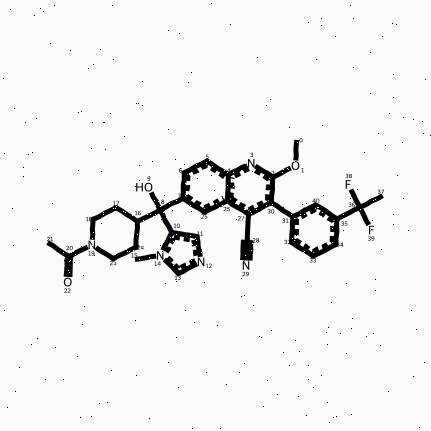 COc1nc2ccc(C(O)(c3cncn3C)C3CCN(C(C)=O)CC3)cc2c(C#N)c1-c1cccc(C(C)(F)F)c1